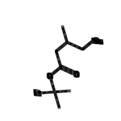 CCC(C)(C)OC(=O)CC(C)CC(C)(C)C